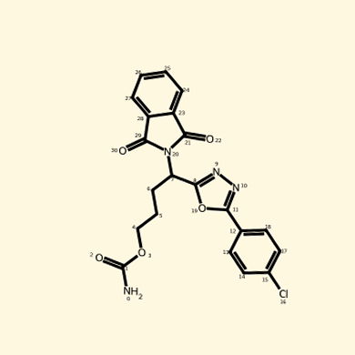 NC(=O)OCCCC(c1nnc(-c2ccc(Cl)cc2)o1)N1C(=O)c2ccccc2C1=O